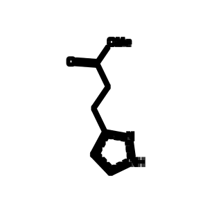 COC(=O)CCc1cc[nH]n1